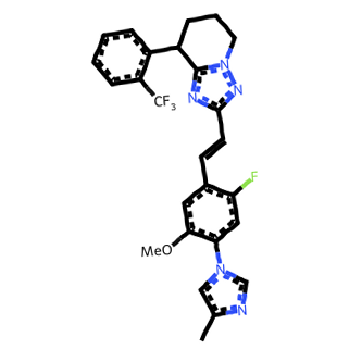 COc1cc(C=Cc2nc3n(n2)CCCC3c2ccccc2C(F)(F)F)c(F)cc1-n1cnc(C)c1